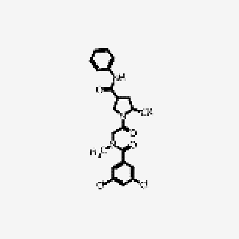 CN(CC(=O)N1CC(C(=O)Nc2ccccc2)CC1C#N)C(=O)c1cc(Cl)cc(Cl)c1